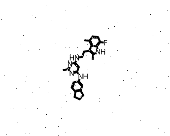 Cc1nc(NCCc2c(C)[nH]c3c(F)ccc(C)c23)cc(Nc2ccc3c(c2)CCC3)n1